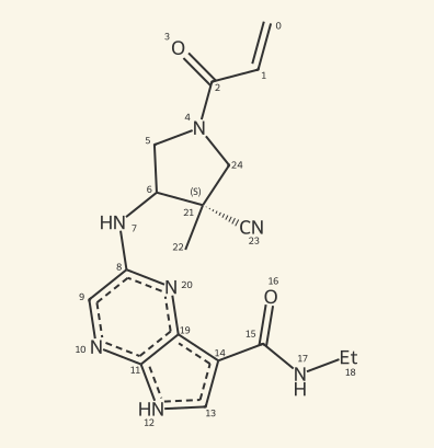 C=CC(=O)N1CC(Nc2cnc3[nH]cc(C(=O)NCC)c3n2)[C@@](C)(C#N)C1